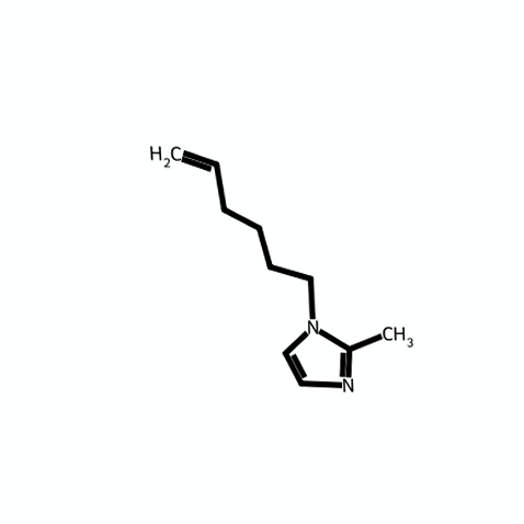 C=CCCCCn1ccnc1C